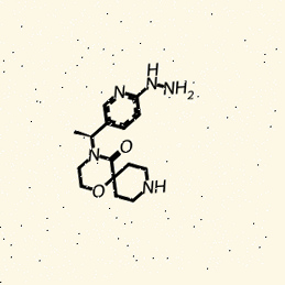 C[C@@H](c1ccc(NN)nc1)N1CCOC2(CCNCC2)C1=O